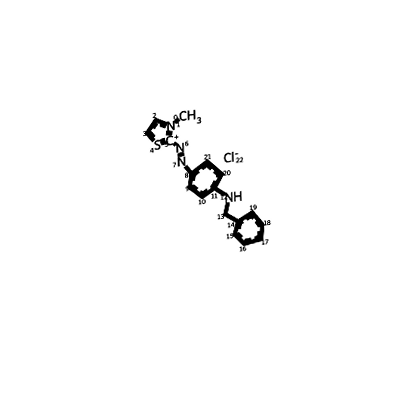 Cn1ccs[c+]1N=Nc1ccc(NCc2ccccc2)cc1.[Cl-]